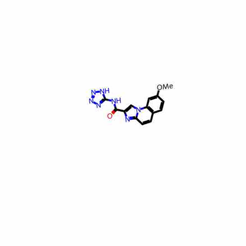 COc1ccc2ccc3nc(C(=O)Nc4nnn[nH]4)cn3c2c1